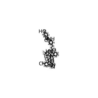 CC(C)(C)OC(=O)C1(NC(=O)C(=O)Nc2cc(Cl)ccc2-n2cnnn2)Nc2ccccc2C1NC(=O)CCc1ccc(NC(=O)N2CCC(O)CC2)cc1